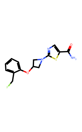 NC(=O)c1cnc(N2CC(Oc3ccccc3CF)C2)s1